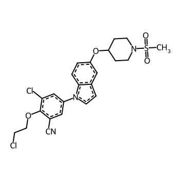 CS(=O)(=O)N1CCC(Oc2ccc3c(ccn3-c3cc(Cl)c(OCCCl)c(C#N)c3)c2)CC1